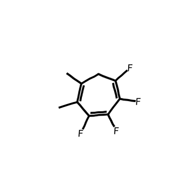 CC1=C(C)C(F)=C(F)C(F)=C(F)C1